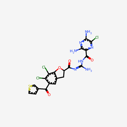 NC(=NC(=O)C1Cc2cc(C(=O)c3ccsc3)c(Cl)c(Cl)c2O1)NC(=O)c1nc(Cl)c(N)nc1N